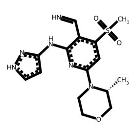 C[C@@H]1COCCN1c1cc(S(C)(=O)=O)c(C=N)c(Nc2cc[nH]n2)n1